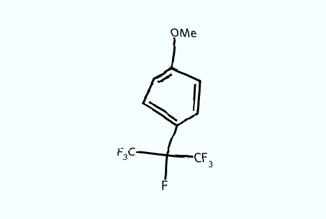 COc1ccc(C(F)(C(F)(F)F)C(F)(F)F)cc1